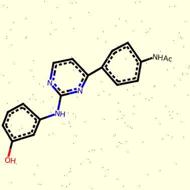 CC(=O)Nc1ccc(-c2ccnc(Nc3cccc(O)c3)n2)cc1